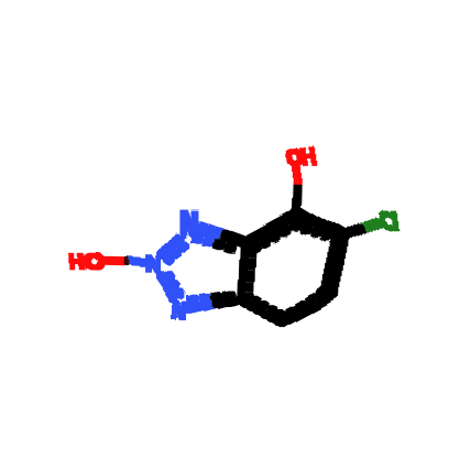 Oc1c(Cl)ccc2nn(O)nc12